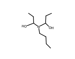 CCCCN(C(O)CC)C(O)CC